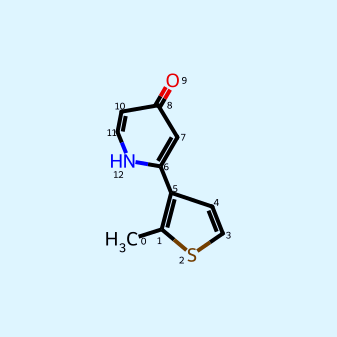 Cc1sccc1-c1cc(=O)cc[nH]1